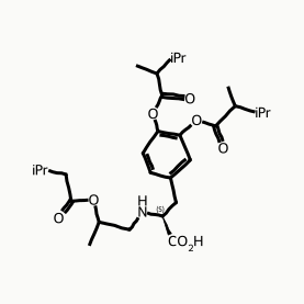 CC(C)CC(=O)OC(C)CN[C@@H](Cc1ccc(OC(=O)C(C)C(C)C)c(OC(=O)C(C)C(C)C)c1)C(=O)O